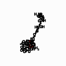 CC[C@@]1(OC(=O)[C@@H](NC(=O)[C@@H]2CCCN2C(=O)[C@H](CC(=O)O)NC(=O)CCOCCOCCOCCNC(O)CCC(=O)Nc2nnc(S(N)(=O)=O)s2)C(C)C)C(=O)OCc2c1cc1n(c2=O)Cc2c-1nc1cc(F)c(C)c3c1c2[C@@H](N)CC3